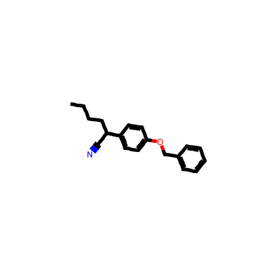 CCCCC(C#N)c1ccc(OCc2ccccc2)cc1